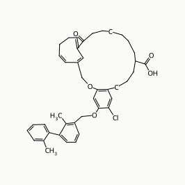 Cc1ccccc1-c1cccc(COc2cc3c(cc2Cl)CCCC(C(=O)O)CCCCCCC(=O)C2=C\CC\C=C/C(=C\2)CO3)c1C